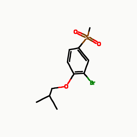 CC(C)COc1ccc(S(C)(=O)=O)cc1Br